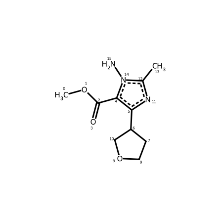 COC(=O)c1c(C2CCOC2)nc(C)n1N